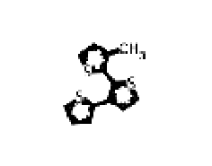 Cc1ccsc1-c1sccc1-c1cccs1